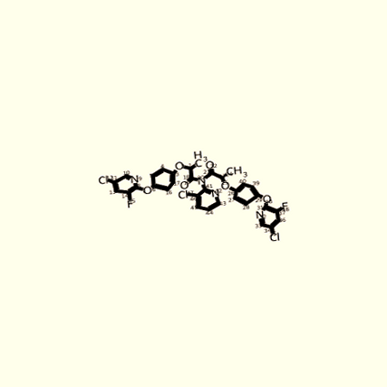 CC(Oc1ccc(Oc2ncc(Cl)cc2F)cc1)C(=O)N(C(=O)[C@@H](C)Oc1ccc(Oc2ncc(Cl)cc2F)cc1)c1ncccc1Cl